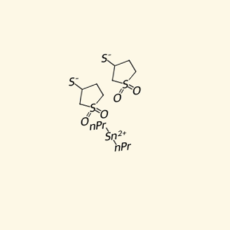 CC[CH2][Sn+2][CH2]CC.O=S1(=O)CCC([S-])C1.O=S1(=O)CCC([S-])C1